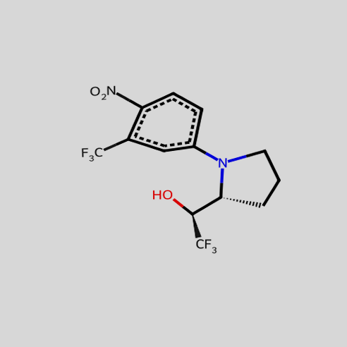 O=[N+]([O-])c1ccc(N2CCC[C@@H]2[C@H](O)C(F)(F)F)cc1C(F)(F)F